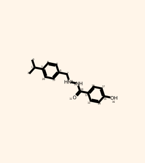 CC(C)c1ccc(CNNC(=O)c2ccc(O)cc2)cc1